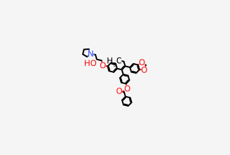 CCC(=C(c1ccc(OCC(O)CN2CCCC2)cc1)c1ccc(OC(=O)c2ccccc2)cc1)c1ccc2c(c1)OCO2